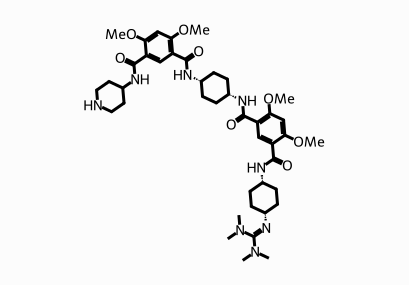 COc1cc(OC)c(C(=O)N[C@H]2CC[C@@H](NC(=O)c3cc(C(=O)N[C@H]4CC[C@@H](N=C(N(C)C)N(C)C)CC4)c(OC)cc3OC)CC2)cc1C(=O)NC1CCNCC1